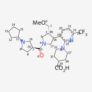 COC[C@H]1CN(C(=O)[C@H]2CCN(C3CCCC3)C2)CC1c1ccc(C(F)(F)F)nc1N1CCC(C(=O)O)CC1